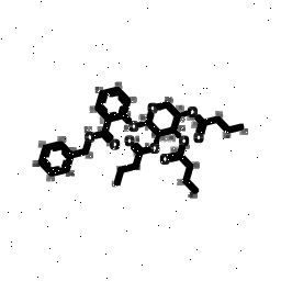 CCCC(=O)O[C@H]1[C@@H](Oc2ccccc2C(=O)OCc2ccccc2)OC[C@@H](OC(=O)CCC)[C@H]1OC(=O)CCC